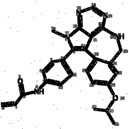 C=CC(=O)Nc1ccc(-c2c3c4c(ncnc4n2C)NCc2cc(OC(C)C)ccc2-3)cc1